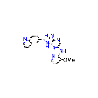 COc1cccnc1Nc1cnc(N)c(NCc2ccc3ncccc3c2)n1